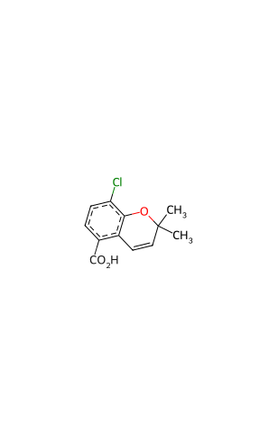 CC1(C)C=Cc2c(C(=O)O)ccc(Cl)c2O1